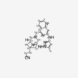 Cc1cc(Nc2cc3ncccc3c(CN3C[C@@H]4CC5(CCC#N)C[C@H](C3)N45)n2)n[nH]1